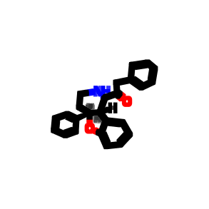 O=C(Cc1ccccc1)C1NCC[C@@]2(c3ccccc3)Oc3ccccc3[C@@H]12